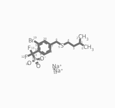 CC(C)CCSCc1ccc(C(F)(F)P(=O)([O-])[O-])c(Br)c1.[Na+].[Na+]